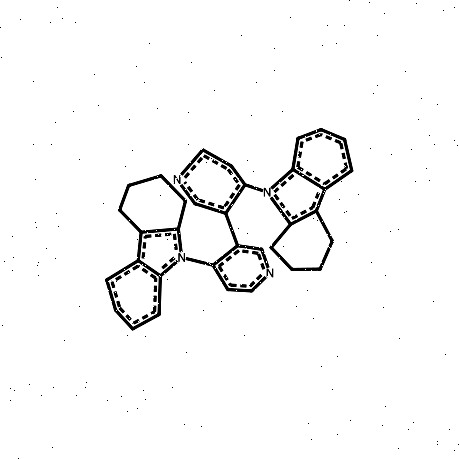 c1ccc2c(c1)c1c(n2-c2ccncc2-c2cnccc2-n2c3c(c4ccccc42)CCCC3)CCCC1